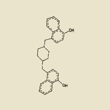 Oc1ccc(CC2CCC(Cc3ccc(O)c4ccccc34)CC2)c2ccccc12